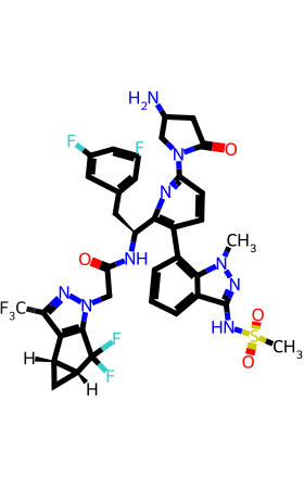 Cn1nc(NS(C)(=O)=O)c2cccc(-c3ccc(N4CC(N)CC4=O)nc3[C@H](Cc3cc(F)cc(F)c3)NC(=O)Cn3nc(C(F)(F)F)c4c3C(F)(F)[C@@H]3C[C@H]43)c21